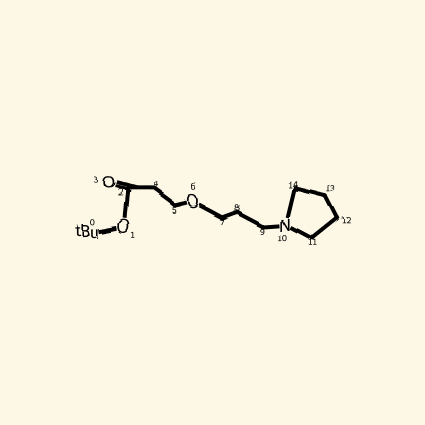 CC(C)(C)OC(=O)CCOCCCN1CCCC1